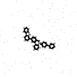 c1ccc(-c2ccc(N(Cc3ccc(-c4cccc5c4sc4ccccc45)cc3)c3ccccc3)cc2)cc1